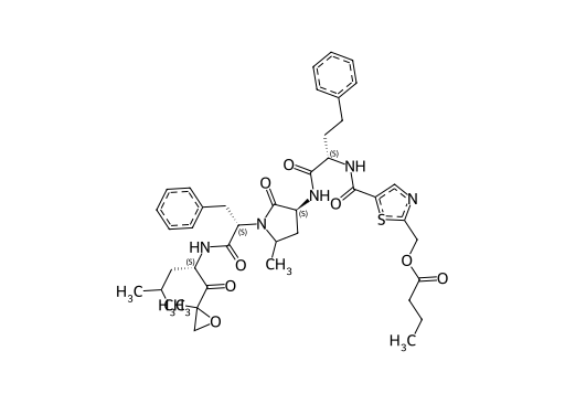 CCCC(=O)OCc1ncc(C(=O)N[C@@H](CCc2ccccc2)C(=O)N[C@H]2CC(C)N([C@@H](Cc3ccccc3)C(=O)N[C@@H](CC(C)C)C(=O)C3(C)CO3)C2=O)s1